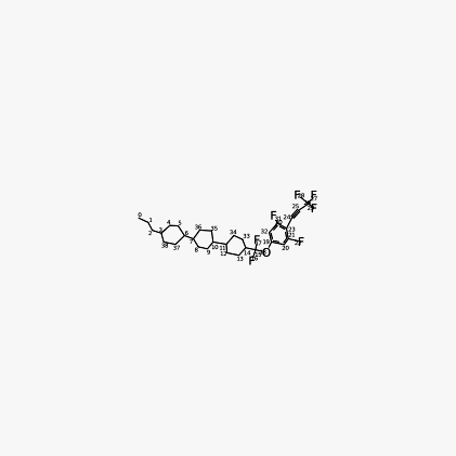 CCCC1CCC(C2CCC(C3CCC(C(F)(F)Oc4cc(F)c(C#CC(F)(F)F)c(F)c4)CC3)CC2)CC1